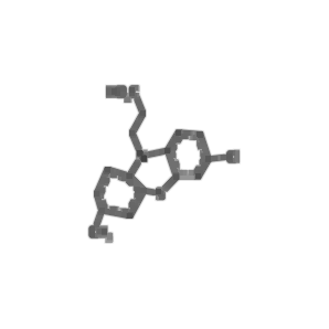 Cc1ccc2c(c1)Sc1cc(Cl)ccc1N2CCC(=O)O